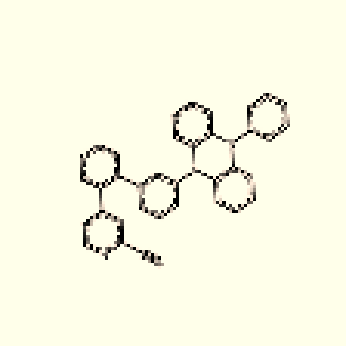 N#Cc1cc(-c2ccccc2-c2cccc(N3c4ccccc4N(c4ccccc4)c4ccccc43)c2)ccn1